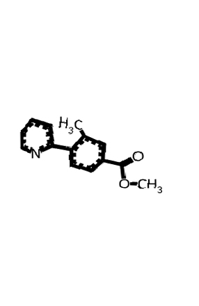 COC(=O)c1ccc(-c2ccccn2)c(C)c1